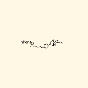 C=CCOc1ncc(-c2ccc(C=CCCCC(C)OCCCCC)cc2)cn1